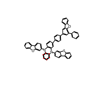 c1ccc(-c2cc(-c3ccc(-c4ccc(N(c5ccccc5)c5ccc6c(c5)oc5ccccc56)c(N(c5ccccc5)c5ccc6c(c5)sc5ccccc56)c4)cc3)cc3c2oc2ccccc23)cc1